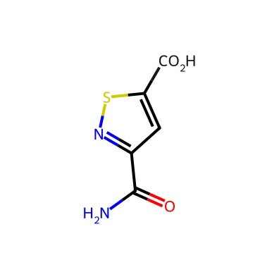 NC(=O)c1cc(C(=O)O)sn1